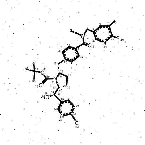 Cc1cc(CN(C)C(=O)c2ccc(C[C@@H]3CC[C@H]([C@H](O)c4ccc(Cl)nc4)N3C(=O)OC(C)(C)C)cc2)cnc1F